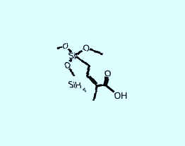 CO[Si](CC=C(C)C(=O)O)(OC)OC.[SiH4]